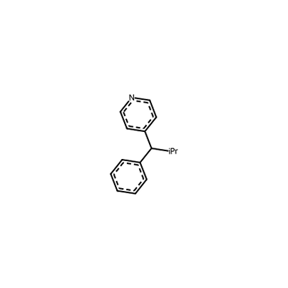 CC(C)C(c1ccccc1)c1ccncc1